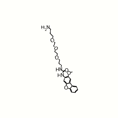 COc1cc2c(cc1NC(=O)NCCCOCCOCCOCCCN)oc1ccccc12